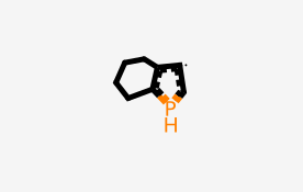 [c]1c[pH]c2c1CCCC2